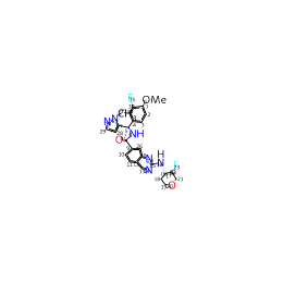 COc1ccc(C(NC(=O)c2ccc3cnc(N[C@H]4CCOC[C@H]4F)nc3c2)c2ccnn2C)cc1F